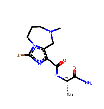 CN1CCCn2c(Br)nc(C(=O)N[C@H](C(N)=O)C(C)(C)C)c2C1